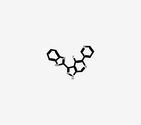 Fc1c(-c2cccnc2)ncc2[nH]nc(-c3nc4ccccc4[nH]3)c12